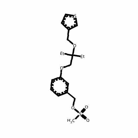 CCC(CC)(COc1cccc(COS(C)(=O)=O)c1)OCc1ccsc1